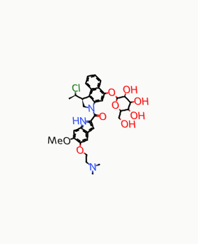 COc1cc2[nH]c(C(=O)N3C[C@@H]([C@@H](C)Cl)c4c3cc(O[C@@H]3OC(CO)[C@H](O)C(O)[C@@H]3O)c3ccccc43)cc2cc1OCCN(C)C